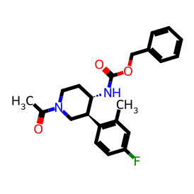 CC(=O)N1CC[C@H](NC(=O)OCc2ccccc2)[C@@H](c2ccc(F)cc2C)C1